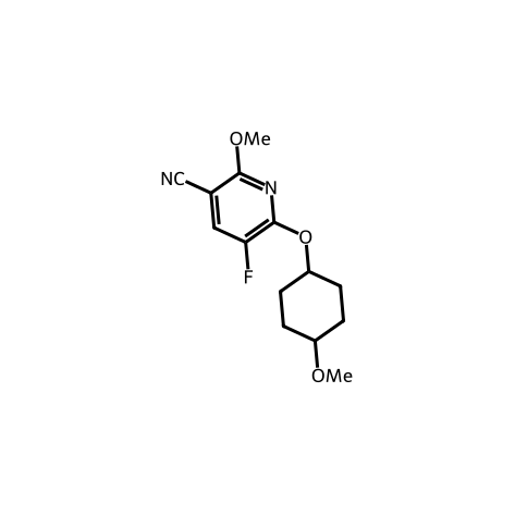 COc1nc(OC2CCC(OC)CC2)c(F)cc1C#N